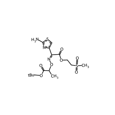 CC(O/N=C(\C(=O)OCCS(C)(=O)=O)c1csc(N)n1)C(=O)OC(C)(C)C